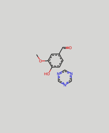 COc1cc(C=O)ccc1O.c1ncncn1